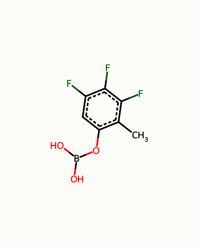 Cc1c(OB(O)O)cc(F)c(F)c1F